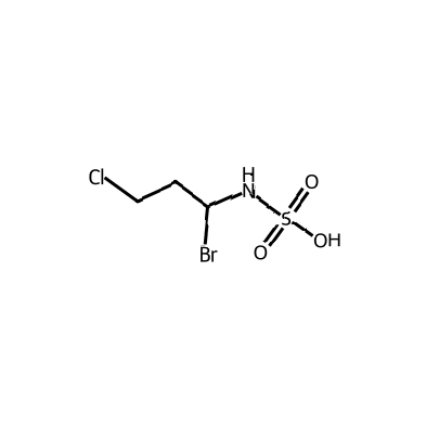 O=S(=O)(O)NC(Br)CCCl